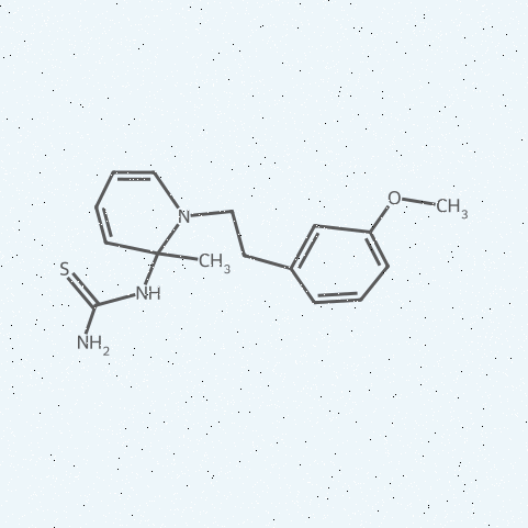 COc1cccc(CCN2C=CC=CC2(C)NC(N)=S)c1